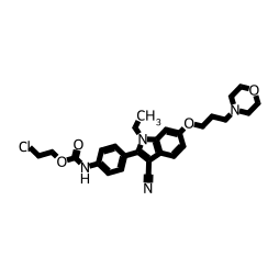 CCn1c(-c2ccc(NC(=O)OCCCl)cc2)c(C#N)c2ccc(OCCCN3CCOCC3)cc21